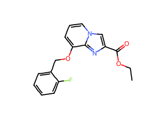 CCOC(=O)c1cn2cccc(OCc3ccccc3F)c2n1